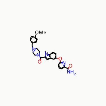 COc1ccc(CN2CCN(C(=O)c3cc4cc(Oc5cc[c]c(C(N)=O)n5)ccc4n3C)CC2)cc1